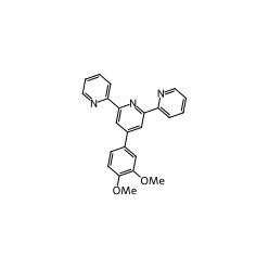 COc1ccc(-c2cc(-c3ccccn3)nc(-c3ccccn3)c2)cc1OC